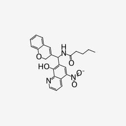 CCCCC(=O)NC(C1=Cc2ccccc2OC1)c1cc([N+](=O)[O-])c2cccnc2c1O